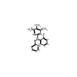 Cc1nc(N(Cc2ccccn2)c2ccccc2F)nc(N)c1C